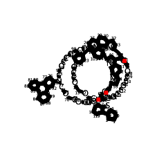 c1ccc2c(c1)sc1c(N3CCOCCOCCOc4ccc(cc4)-c4ccc5ccc6ccc(nc6c5n4)-c4ccc(cc4-c4cc5nc6c4ccc4ccc(nc46)-c4ccc(cc4)OCCOCCOCCN(c4ccc6c7ccccc7c7ccccc7c6c4)CCOCCOCCOc4ccc-5cc4)OCCOCCOCC3)cccc12